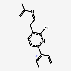 C=C/C(=C\C)c1ccc(C/C=N\C(=C)C)c(CC)n1